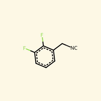 [C-]#[N+]Cc1cccc(F)c1F